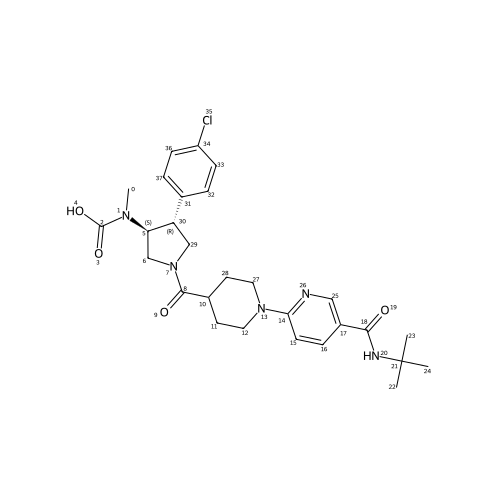 CN(C(=O)O)[C@@H]1CN(C(=O)C2CCN(c3ccc(C(=O)NC(C)(C)C)cn3)CC2)C[C@H]1c1ccc(Cl)cc1